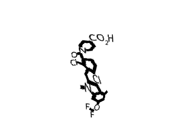 Cc1cc(OC(F)F)cc2c1cc(Cc1c(Cl)ccc(C(=O)N3CCC(C(=O)O)CC3)c1Cl)n2C